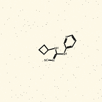 N#CN=C(Nc1cccnc1)NC1CCC1